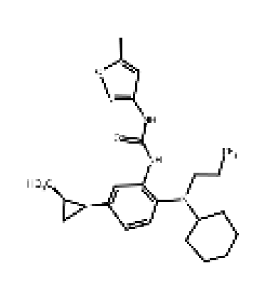 Cc1cc(NC(=O)Nc2cc([C@H]3C[C@H]3C(=O)O)ccc2N(CCC(F)(F)F)C2CCCCC2)no1